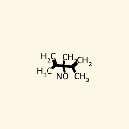 C=C(C)C(C)(N=O)C(=C)C